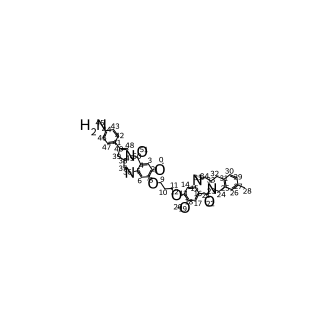 COc1cc2c(cc1OCCCOc1cc3c(cc1OC)C(=O)N1Cc4cc(C)ccc4CC1C=N3)N=CC1CC(c3ccc(N)cc3)=CN1C2=O